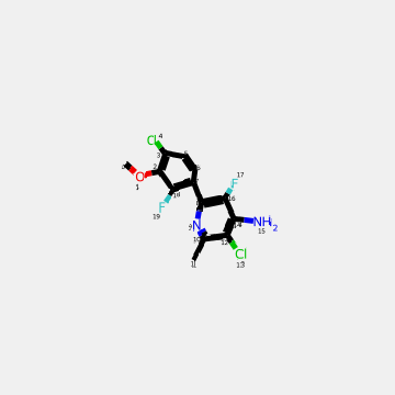 COc1c(Cl)ccc(-c2nc(C)c(Cl)c(N)c2F)c1F